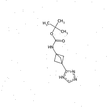 CC(C)(C)OC(=O)NC12CC(c3nnc[nH]3)(C1)C2